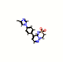 Cc1cn(-c2ccc(C3=CC=NN4CCS(=O)(=O)N=C34)cc2)cn1